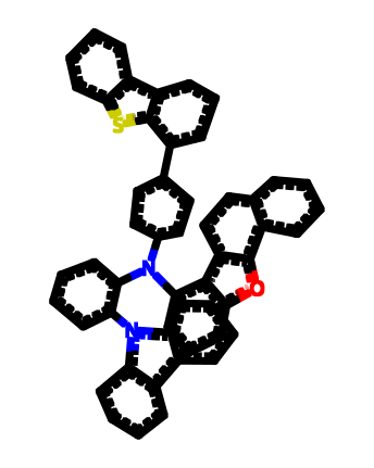 c1ccc(-n2c3ccccc3c3ccccc32)c(N(c2ccc(-c3cccc4c3sc3ccccc34)cc2)c2cccc3oc4c5ccccc5ccc4c23)c1